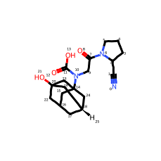 N#CC1CCCN1C(=O)CN(C(=O)O)C12CC3C[C@H](CC(O)(C3)C1)C2